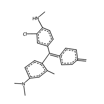 C=c1ccc(=C(c2ccc(NC)c(Cl)c2)c2ccc(N(C)C)cc2C)cc1